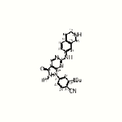 CC(C)n1c(=O)c2cnc(Nc3ccc4c(c3)CNCC4)nc2n1-c1ccc(C#N)c(C(C)(C)C)c1